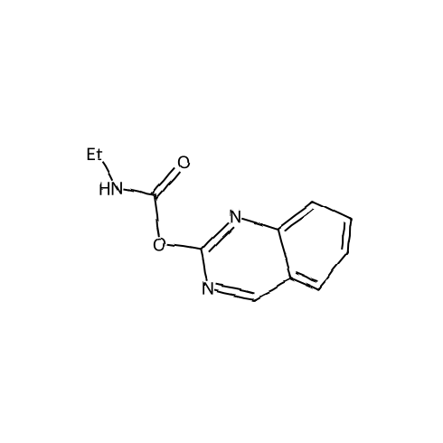 CCNC(=O)Oc1ncc2ccccc2n1